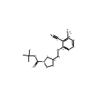 CC(C)(C)OC(=O)N1CCC(COc2cccc(N)c2C#N)C1